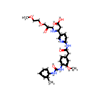 COCCOCC(=O)CNC(CC(=O)O)c1ccc(NC(=O)Cc2ccc(NC(=O)Nc3ccccc3C)c(OC)c2)nc1